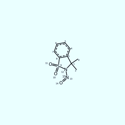 CC1(C)c2ccccc2S(=O)(=O)N1[15N]=O